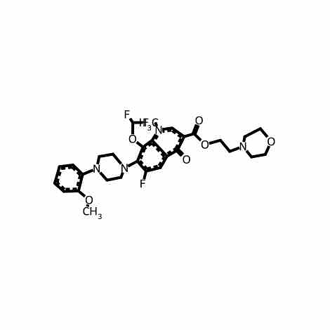 COc1ccccc1N1CCN(c2c(F)cc3c(=O)c(C(=O)OCCN4CCOCC4)cn(C)c3c2OC(F)F)CC1